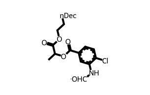 CCCCCCCCCCCCOC(=O)C(C)OC(=O)c1ccc(Cl)c(N[C]=O)c1